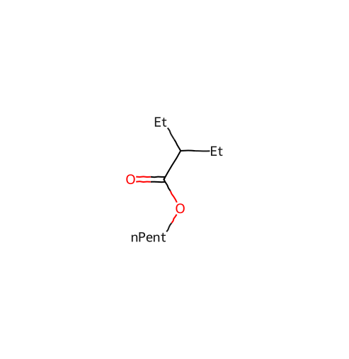 [CH2]CC(CC)C(=O)OCCCCC